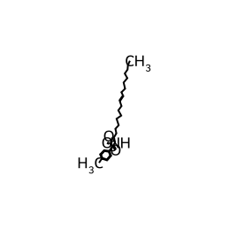 CCCCCCCCC=CCCCCCCCC(=O)NS(=O)(=O)c1ccc(C)cc1